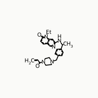 C=CC(=O)N1CCN(Cc2ccc(C(C)Nc3cc4c(ccc(=O)n4CC)cn3)cc2)CC1